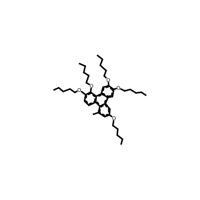 CCCCCOc1cc(C)c2c(c1)c1cc(OCCCCC)c(OCCCCC)cc1c1c(OCCCCC)c(OCCCCC)ccc21